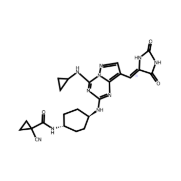 N#CC1(C(=O)N[C@H]2CC[C@H](Nc3nc(NC4CC4)n4ncc(/C=C5\NC(=O)NC5=O)c4n3)CC2)CC1